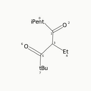 CCCC(C)C(=O)C(CC)C(=O)C(C)(C)C